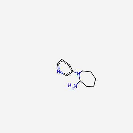 NC1CCCCCN1c1cccnc1